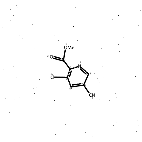 COC(=O)c1ncc(C#N)cc1Cl